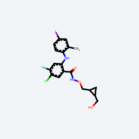 Cc1cc(I)ccc1Nc1cc(F)c(Cl)cc1C(=O)NOCC1CC1CO